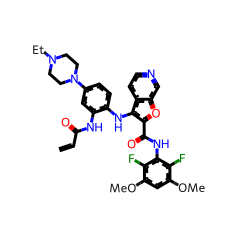 C=CC(=O)Nc1cc(N2CCN(CC)CC2)ccc1Nc1c(C(=O)Nc2c(F)c(OC)cc(OC)c2F)oc2cnccc12